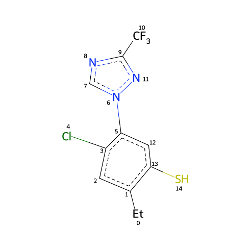 CCc1cc(Cl)c(-n2cnc(C(F)(F)F)n2)cc1S